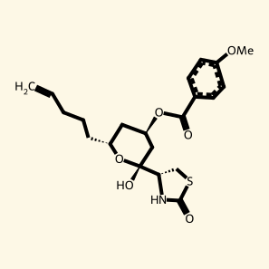 C=CCCC[C@@H]1C[C@@H](OC(=O)c2ccc(OC)cc2)C[C@](O)([C@@H]2CSC(=O)N2)O1